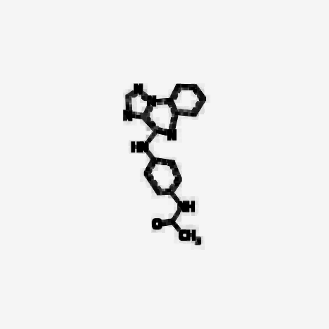 CC(=O)Nc1ccc(Nc2nc3ccccc3n3ncnc23)cc1